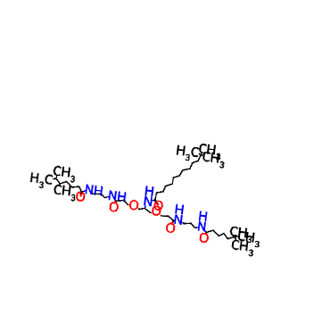 CC(C)C(C)CCCC(=O)NCCCNC(=O)CCOCC(COCCC(=O)NCCCNC(=O)CCCCC(C)(C)C)NC(=O)CCCCCCCCCCC(C)(C)C